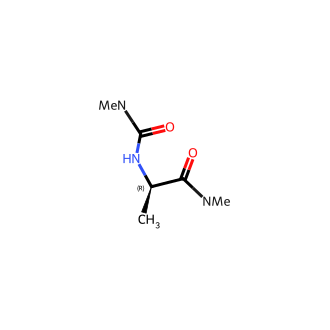 CNC(=O)N[C@H](C)C(=O)NC